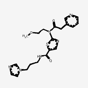 COCCN(C(=O)Cc1cccnc1)c1ncc(C(=O)NCCCn2ccnc2)s1